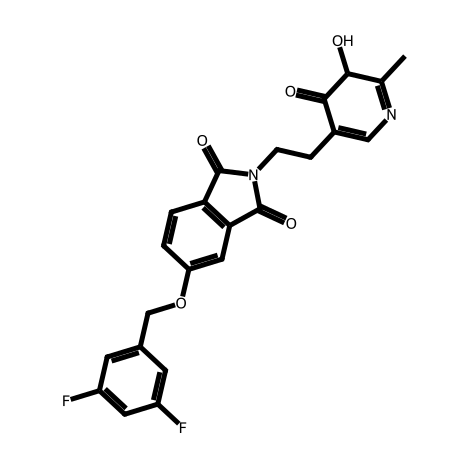 CC1=NC=C(CCN2C(=O)c3ccc(OCc4cc(F)cc(F)c4)cc3C2=O)C(=O)C1O